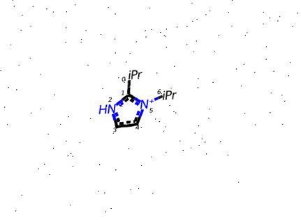 CC(C)c1[nH]cc[n+]1C(C)C